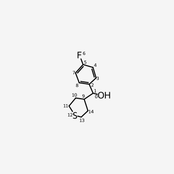 OC(c1ccc(F)cc1)C1CCSCC1